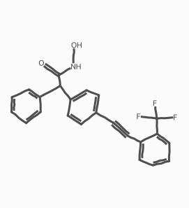 O=C(NO)C(c1ccccc1)c1ccc(C#Cc2ccccc2C(F)(F)F)cc1